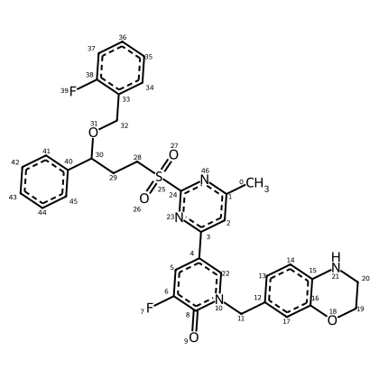 Cc1cc(-c2cc(F)c(=O)n(Cc3ccc4c(c3)OCCN4)c2)nc(S(=O)(=O)CCC(OCc2ccccc2F)c2ccccc2)n1